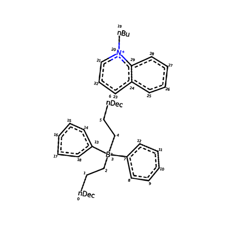 CCCCCCCCCCCC[B-](CCCCCCCCCCCC)(c1ccccc1)c1ccccc1.CCCC[n+]1cccc2ccccc21